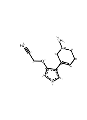 C#CCOc1nsnc1C1=CCCN(C)C1